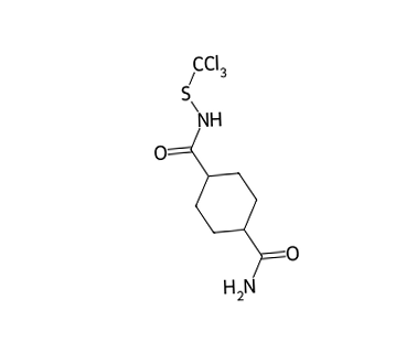 NC(=O)C1CCC(C(=O)NSC(Cl)(Cl)Cl)CC1